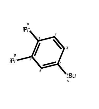 CC(C)c1ccc(C(C)(C)C)cc1C(C)C